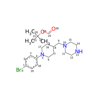 Brc1ccc(N2CCC(CN3CCNCC3)CC2)cc1.CC(C)(C)OC=O